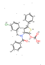 Cc1ccc(C(=O)N(Cc2cccc(Cl)c2)c2cc(-c3ccccc3)sc2OC(=O)O)cc1